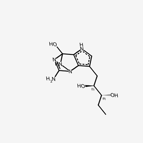 CC[C@@H](O)[C@@H](O)Cc1c[nH]c2c1N1NC2(O)N=C1N